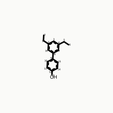 CCc1cc(CC)cc(-c2ccc(O)cc2)c1